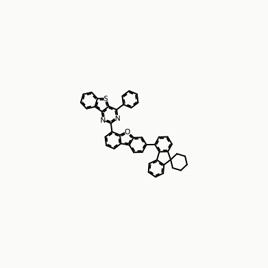 c1ccc(-c2nc(-c3cccc4c3oc3cc(-c5cccc6c5-c5ccccc5C65CCCCC5)ccc34)nc3c2sc2ccccc23)cc1